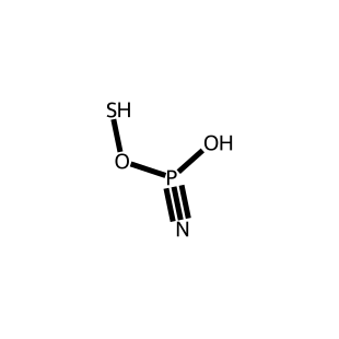 N#P(O)OS